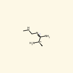 CNC/N=C(/N)[C@@H](C)N